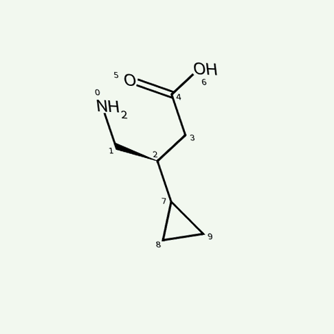 NC[C@@H](CC(=O)O)C1CC1